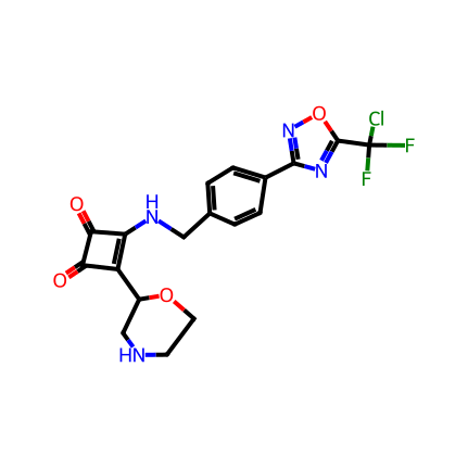 O=c1c(NCc2ccc(-c3noc(C(F)(F)Cl)n3)cc2)c(C2CNCCO2)c1=O